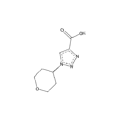 O=C(O)c1cn(C2CCOCC2)nn1